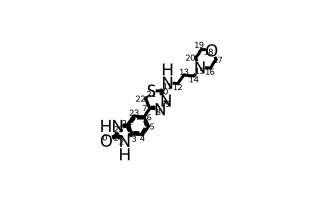 O=c1[nH]c2ccc(C3=NN=C(NCCCN4CCOCC4)SC3)cc2[nH]1